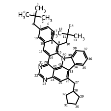 CC(C)(C)Cc1ccc2c(CC(C)(C)I)c3c(cc2c1)c1ncnc2cc(CC4CCCC4)c4c5ccccc5n3c4c21